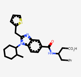 CC(C)CC(CC(=O)O)NC(=O)c1ccc2c(c1)nc(Cc1cccs1)n2C1CCCCC1C